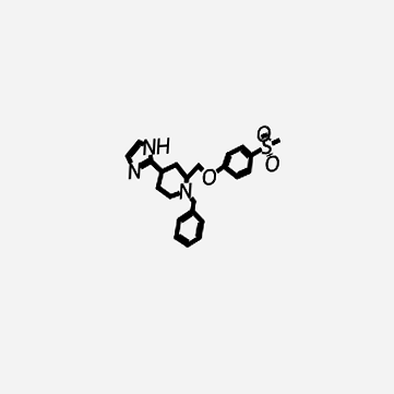 CS(=O)(=O)c1ccc(OCC2CC(c3ncc[nH]3)CCN2Cc2ccccc2)cc1